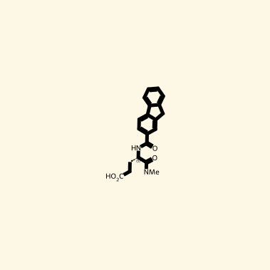 CNC(=O)[C@H](CCC(=O)O)NC(=O)c1ccc2c(c1)Cc1ccccc1-2